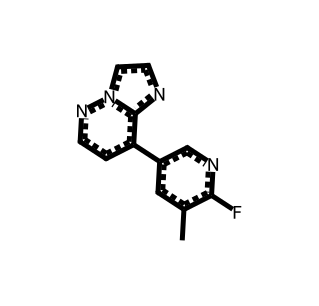 Cc1cc(-c2ccnn3ccnc23)cnc1F